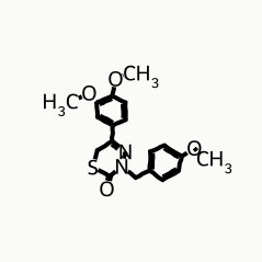 COc1ccc(CN2N=C(c3ccc(OC)c(OC)c3)CSC2=O)cc1